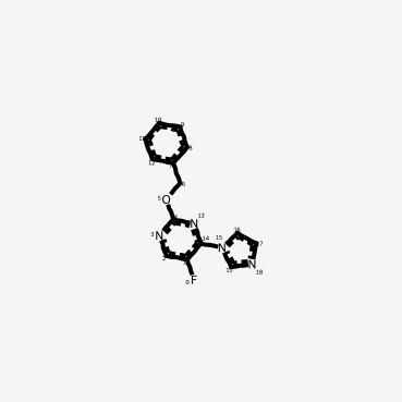 Fc1cnc(OCc2ccccc2)nc1-n1ccnc1